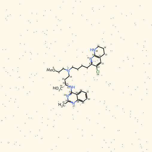 COCCN(CCCCc1nc2c(cc1Cl)CCCN2)CC[C@H](Nc1nc(C)nc2ccccc12)C(=O)O